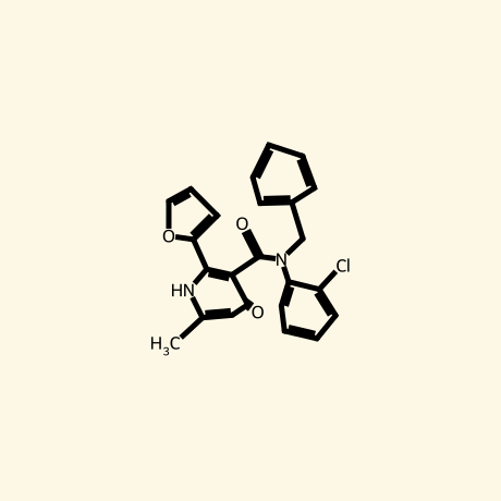 Cc1cc(=O)c(C(=O)N(Cc2ccccc2)c2ccccc2Cl)c(-c2ccco2)[nH]1